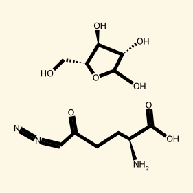 OC[C@H]1OC(O)[C@@H](O)[C@@H]1O.[N-]=[N+]=CC(=O)CC[C@H](N)C(=O)O